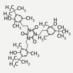 Cc1cc(C(C)(C)C)c(O)c(C)c1CCn1c(=O)n(CCc2c(C)cc(C(C)(C)C)c(O)c2C)c(=O)n(CCc2c(C)cc(C(C)(C)C)c(O)c2C)c1=O